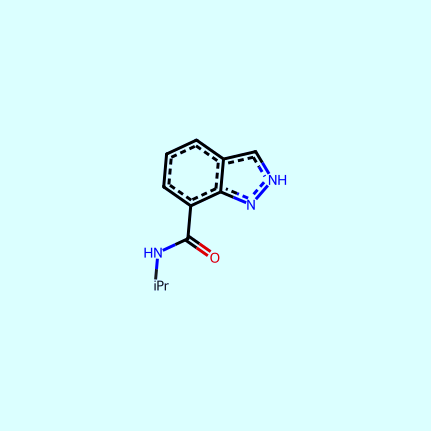 CC(C)NC(=O)c1cccc2c[nH]nc12